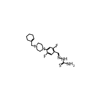 NC(=S)N/N=C/c1cc(F)c(N2CCN(CC3=CCCCC3)CC2)cc1F